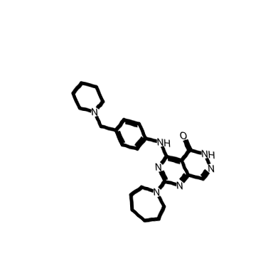 O=c1[nH]ncc2nc(N3CCCCCC3)nc(Nc3ccc(CN4CCCCC4)cc3)c12